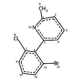 Cc1cccc(-c2c(Cl)cccc2Br)n1